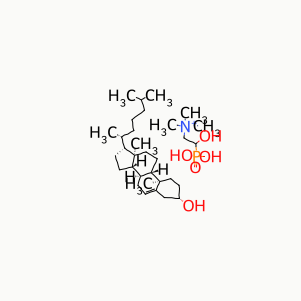 CC(C)CCC[C@@H](C)[C@H]1CC[C@H]2[C@@H]3CC=C4C[C@@H](O)CC[C@]4(C)[C@H]3CC[C@]12C.C[N+](C)(C)CC(O)P(=O)(O)O